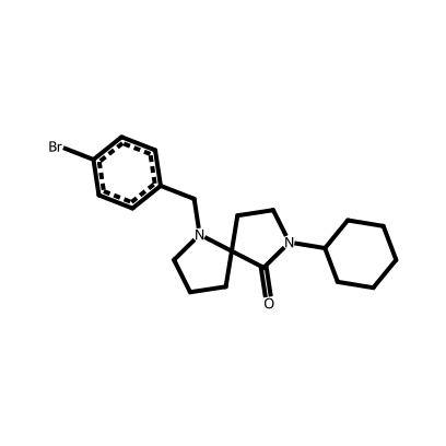 O=C1N(C2CCCCC2)CCC12CCCN2Cc1ccc(Br)cc1